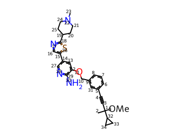 COC(C)(C#Cc1cccc(COc2cc(-c3cnc(C4CCN(C)CC4)s3)cnc2N)c1)C1CC1